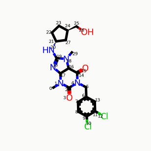 CN1C(=O)N(Cc2ccc(Cl)c(Cl)c2)C(=O)C2C1N=C(N[C@@H]1CC[C@@H](CO)C1)N2C